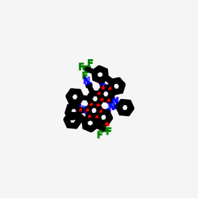 N#Cc1c(-c2ccccc2N(c2ccccc2)c2ccccc2)c(-n2c3ccccc3c3ccc(C(F)(F)F)cc32)c(-c2ccccc2N(c2ccccc2)c2ccccc2)c(C#N)c1-n1c2ccccc2c2ccc(C(F)(F)F)cc21